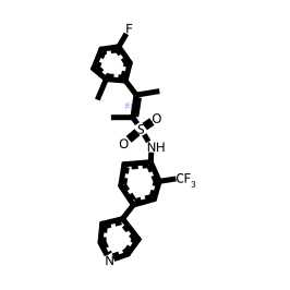 C/C(=C(/C)S(=O)(=O)Nc1ccc(-c2ccncc2)cc1C(F)(F)F)c1cc(F)ccc1C